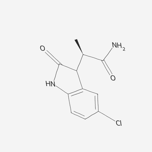 C[C@@H](C(N)=O)C1C(=O)Nc2ccc(Cl)cc21